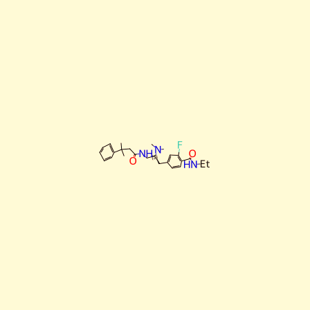 CCNC(=O)c1ccc(C[C@@H](CNC(=O)CC(C)(C)c2ccccc2)N(C)C)cc1F